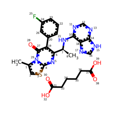 Cc1csc2nc([C@H](C)Nc3ncnc4[nH]cnc34)c(-c3cccc(F)c3)c(=O)n12.O=C(O)CCCCC(=O)O